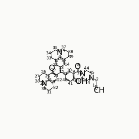 C#CCN1CCN(C(=O)c2cc(C3=c4cc5c6c(c4Oc4c3cc3c7c4CCCN7CCC3)CCC[N+]=6CCC5)ccc2O)CC1